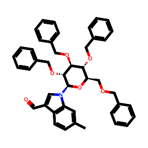 Cc1ccc2c(C=O)cn([C@@H]3O[C@H](COCc4ccccc4)[C@@H](OCc4ccccc4)[C@H](OCc4ccccc4)[C@H]3OCc3ccccc3)c2c1